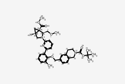 COC[C@H]1N(c2cccc(-c3cccc(C)c3OCc3ccc4c(c3)CCN(C(=O)OC(C)(C)C)C4)n2)C[C@@H]2C[C@@]21C(=O)OC